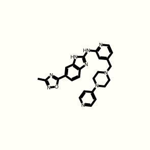 Cc1noc(-c2ccc3nc(Nc4cc(CN5CCN(c6ccncc6)CC5)ccn4)[nH]c3c2)n1